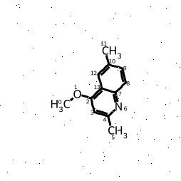 COc1cc(C)nc2ccc(C)cc12